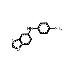 Nc1ccc(Nc2ccc3ocnc3c2)cc1